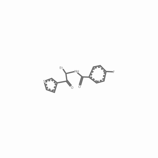 CCC(NC(=O)c1ccc(F)cc1)C(=O)c1ccsc1